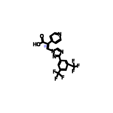 O=C(O)/C(=C/n1cnc(-c2cc(C(F)(F)F)cc(C(F)(F)F)c2)n1)c1ccncc1